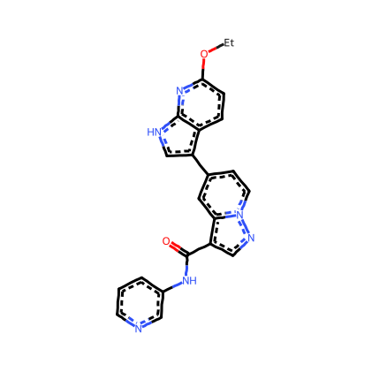 CCOc1ccc2c(-c3ccn4ncc(C(=O)Nc5cccnc5)c4c3)c[nH]c2n1